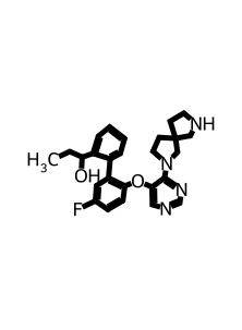 CCC(O)c1ccccc1-c1cc(F)ccc1Oc1cncnc1N1CCC2(CCNC2)C1